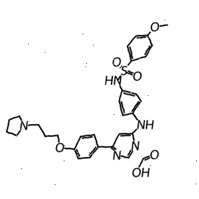 COc1ccc(S(=O)(=O)Nc2ccc(Nc3cc(-c4ccc(OCCCN5CCCC5)cc4)ncn3)cc2)cc1.O=CO